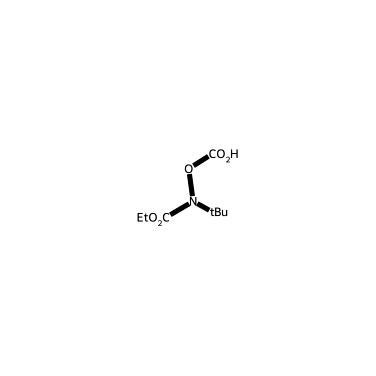 CCOC(=O)N(OC(=O)O)C(C)(C)C